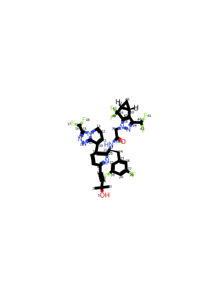 CC(C)(O)C#Cc1ccc(-c2cccn3c(C(F)F)nnc23)c([C@H](Cc2cc(F)cc(F)c2)NC(=O)Cn2nc(C(F)F)c3c2C(F)(F)[C@@H]2C[C@H]32)n1